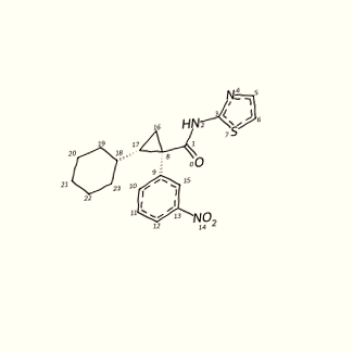 O=C(Nc1nccs1)[C@]1(c2cccc([N+](=O)[O-])c2)C[C@H]1C1CCCCC1